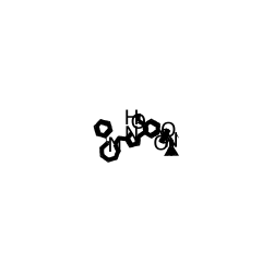 COc1ccc(S(=O)(=O)N(C)C2CC2)cc1-c1ccc(CN2CCCCC[C@@H]2c2ccccc2)[nH]1